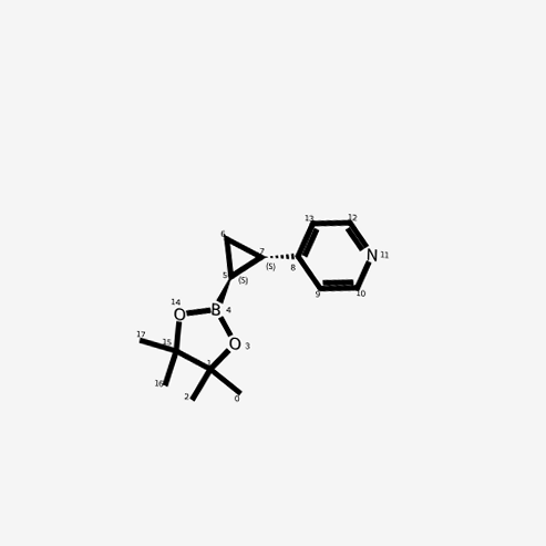 CC1(C)OB([C@H]2C[C@@H]2c2ccncc2)OC1(C)C